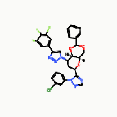 Fc1cc(-c2cn([C@@H]3C[C@H](c4ncnn4-c4cccc(Cl)c4)O[C@@H]4COC(c5ccccc5)O[C@H]34)nn2)cc(F)c1F